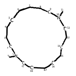 CN1CCCCCCCCN(C)CCCCCCCC1